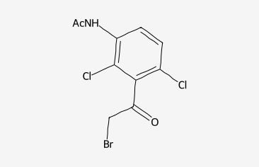 CC(=O)Nc1ccc(Cl)c(C(=O)CBr)c1Cl